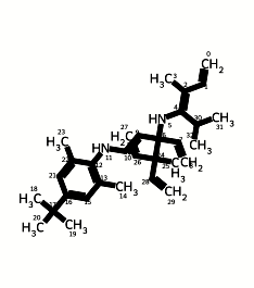 C=C/C(C)=C(/NC(C=C)(/C=C/Nc1c(C)cc(C(C)(C)C)cc1C)C(C)(C=C)C=C)C(C)C